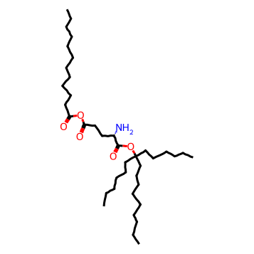 CCCCCCCCCCCC(=O)OC(=O)CC[C@H](N)C(=O)OC(CCCCCC)(CCCCCC)CCCCCCCCC